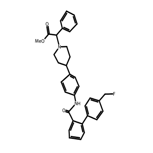 COC(=O)C(c1ccccc1)N1CCC(c2ccc(NC(=O)c3ccccc3-c3ccc(CF)cc3)cc2)CC1